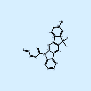 C=C/C=C\C(=C)n1c2ccccc2c2cc3c(cc21)-c1ccc(Br)cc1C3(C)C